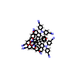 N#Cc1ccc(N(c2ccc(C#N)cc2)c2cc3c(c4ccccc24)-c2c(cc(N(c4ccc(C#N)cc4)c4ccc(C#N)cc4)c4ccccc24)C3(c2ccccc2)C2(c3ccccc3)c3cc(N(c4ccc(C#N)cc4)c4ccc(C#N)cc4)c4ccccc4c3-c3c2cc(N(c2ccc(C#N)cc2)c2ccc(C#N)cc2)c2ccccc32)cc1